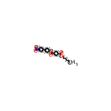 CCCCCCOC(=O)c1ccc(C(=O)Oc2ccc(-c3ccc([N+](=O)[O-])cc3)cc2)cc1